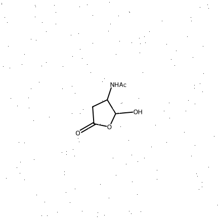 CC(=O)NC1CC(=O)OC1O